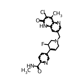 CNC(=O)c1ccc(C2=CCN(Cc3cnc4c(C)c(Cl)c(=O)[nH]c4c3)CC2F)cn1